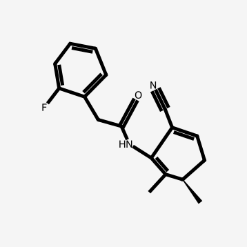 CC1=C(NC(=O)Cc2ccccc2F)C(C#N)=CC[C@H]1C